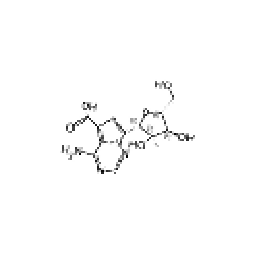 C[C@@]1(O)[C@H](O)[C@@H](CO)O[C@H]1c1cc(C(=O)O)c2c(N)ncnn12